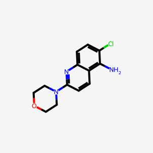 Nc1c(Cl)ccc2nc(N3CCOCC3)ccc12